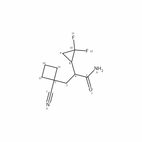 N#CC1(CC(C(N)=O)C2CC2(F)F)CCC1